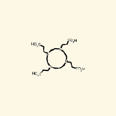 O=C(O)CCN1CCCN(CCC(=O)O)CCN(CCC(=O)O)CCN(CCC(=O)O)CC1